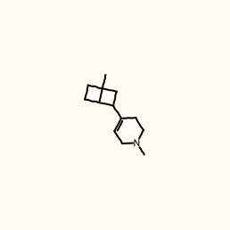 CN1CC=C(C2CC3(C)CCC23)CC1